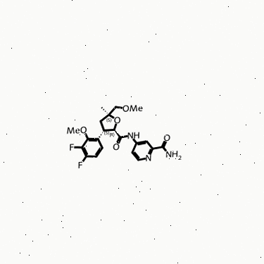 COC[C@]1(C)C[C@@H](c2ccc(F)c(F)c2OC)[C@H](C(=O)Nc2ccnc(C(N)=O)c2)O1